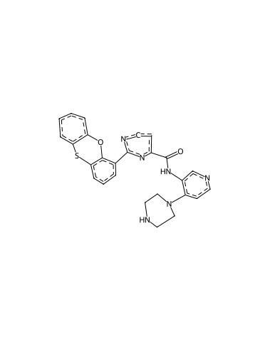 O=C(Nc1cnccc1N1CCNCC1)c1ccnc(-c2cccc3c2Oc2ccccc2S3)n1